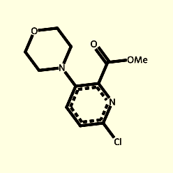 COC(=O)c1nc(Cl)ccc1N1CCOCC1